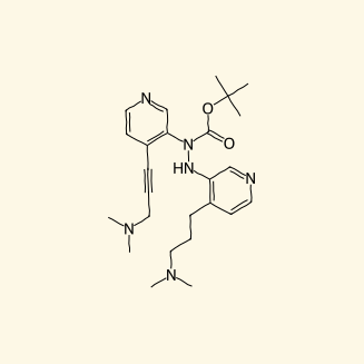 CN(C)CC#Cc1ccncc1N(Nc1cnccc1CCCN(C)C)C(=O)OC(C)(C)C